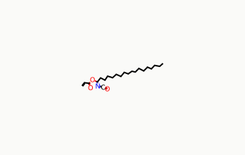 C=CC(=O)OC(CCCCCCCCCCCCCCCCC)N=C=O